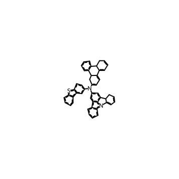 C1=CCC2C(=C1)C1=CC=C(N(c3ccc4sc5ccccc5c4c3)c3cc4c5c(c3)c3ccccc3n5C3=CC=CCC34)CC1c1ccccc12